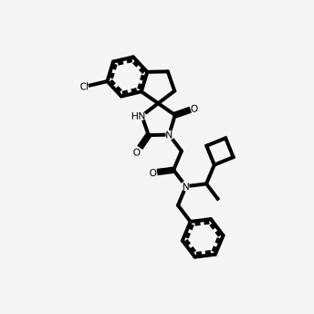 CC(C1CCC1)N(Cc1ccccc1)C(=O)CN1C(=O)NC2(CCc3ccc(Cl)cc32)C1=O